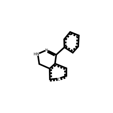 c1ccc(C2=NNCc3ccccc32)cc1